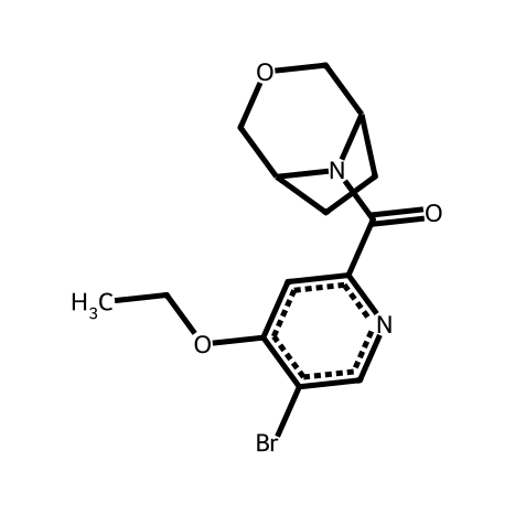 CCOc1cc(C(=O)N2C3CCC2COC3)ncc1Br